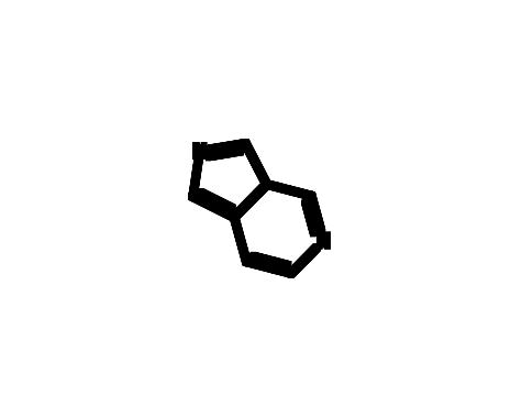 C1=CC2=CN=CC2C=N1